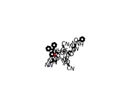 CC(C)N(C(C)C)P(OCCC#N)OC[C@H]1O[C@@H](n2cnc3c(NC(=O)c4ccccc4)ncnc32)CC1NP(=S)(OCCC#N)OC[C@H]1O[C@@H](n2cnc3c(/N=C\N(C)C)ncnc32)CC1NC(c1ccccc1)(c1ccccc1)c1ccccc1